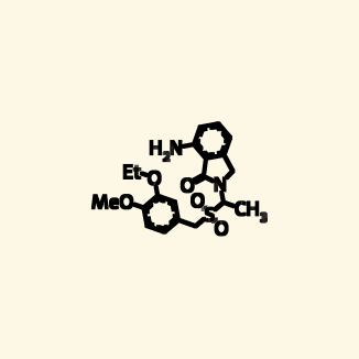 CCOc1cc(CS(=O)(=O)C(C)N2Cc3cccc(N)c3C2=O)ccc1OC